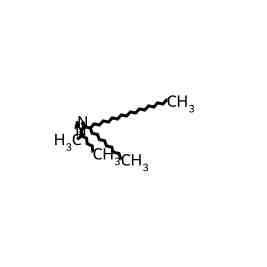 CCCCCCCCCCCCCCCCCCC(CCCCCCCCCC)c1nccn1C(C)CCCCC